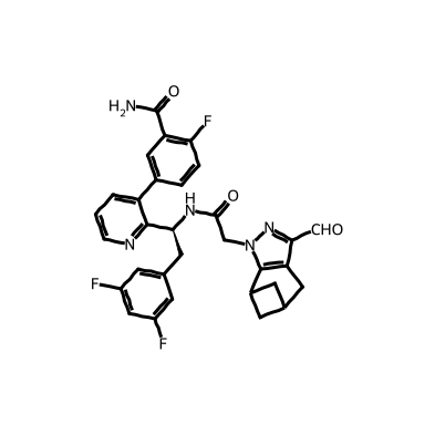 NC(=O)c1cc(-c2cccnc2[C@H](Cc2cc(F)cc(F)c2)NC(=O)Cn2nc(C=O)c3c2C2CC(C3)C2)ccc1F